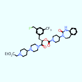 CCOC(=O)CN1CCC(N2CCN(C(=O)[C@@H](Cc3cc(CF)cc(C(F)(F)F)c3)OC(=O)N3CCC(N4CCc5ccccc5NC4=O)CC3)CC2)CC1